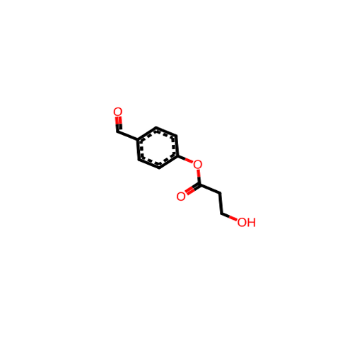 O=Cc1ccc(OC(=O)CCO)cc1